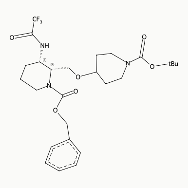 CC(C)(C)OC(=O)N1CCC(OC[C@H]2[C@@H](NC(=O)C(F)(F)F)CCCN2C(=O)OCc2ccccc2)CC1